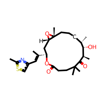 C/C(=C\c1csc(C)n1)[C@@H]1C[C@@H]2O[C@]2(C)CCC[C@H](C)[C@H](O)[C@@H](C)C(=O)C(C)(C)CCC(=O)O1